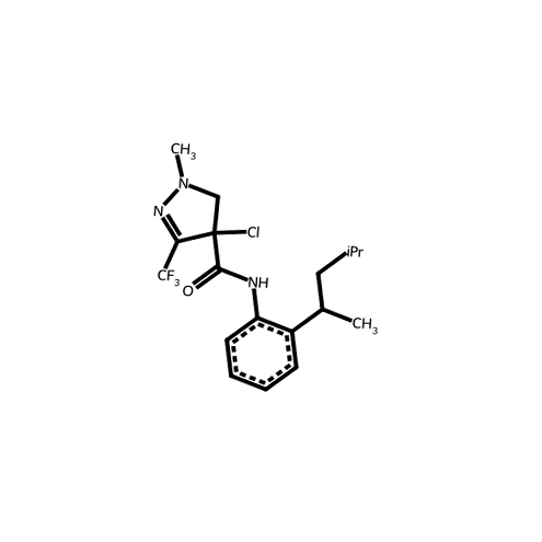 CC(C)CC(C)c1ccccc1NC(=O)C1(Cl)CN(C)N=C1C(F)(F)F